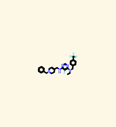 CCN(Cc1ccc(C(F)(F)F)cc1)c1ncnc(NCC2=CCN(Cc3ccccc3)CC2)c1F